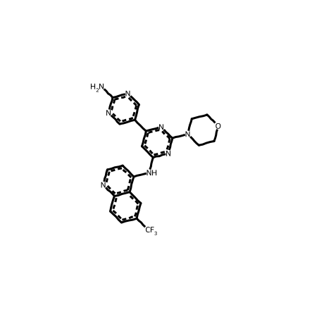 Nc1ncc(-c2cc(Nc3ccnc4ccc(C(F)(F)F)cc34)nc(N3CCOCC3)n2)cn1